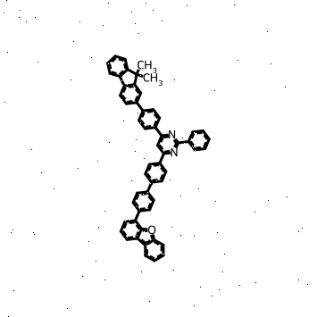 CC1(C)c2ccccc2-c2ccc(-c3ccc(-c4cc(-c5ccc(-c6ccc(-c7cccc8c7oc7ccccc78)cc6)cc5)nc(-c5ccccc5)n4)cc3)cc21